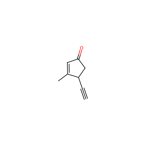 C#CC1CC(=O)C=C1C